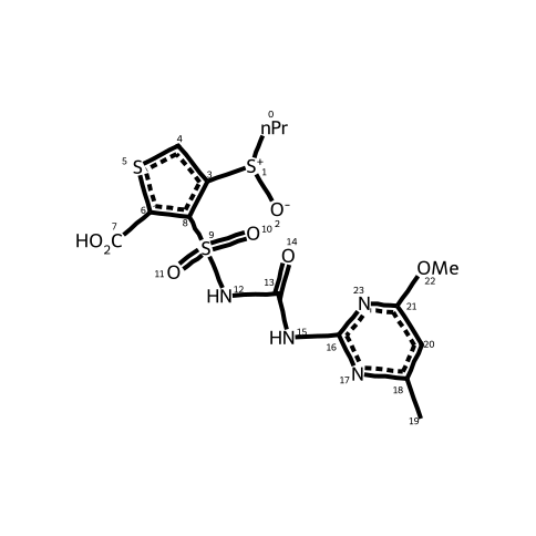 CCC[S+]([O-])c1csc(C(=O)O)c1S(=O)(=O)NC(=O)Nc1nc(C)cc(OC)n1